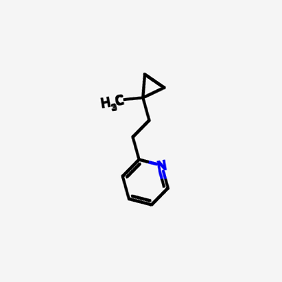 CC1(CCc2ccccn2)CC1